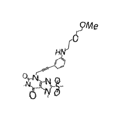 COCCOCCNc1cccc(C#CCn2c(=O)n(C)c(=O)c3c2nc(S(C)(=O)=O)n3C)c1